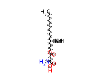 CCCCCCCCCCCCCCCCCCOC(=O)CC[C@H](N)C(=O)O.[KH].[NaH]